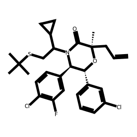 C=CC[C@@]1(C)O[C@H](c2cccc(Cl)c2)[C@@H](c2ccc(Cl)c(F)c2)N(C(CSC(C)(C)C)C2CC2)C1=O